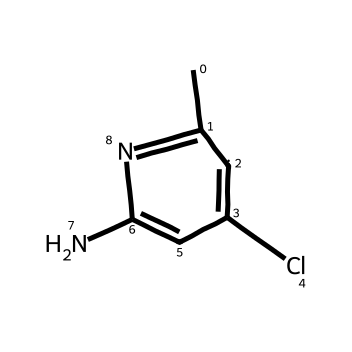 Cc1[c]c(Cl)cc(N)n1